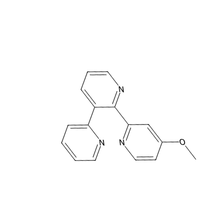 COc1ccnc(-c2ncccc2-c2ccccn2)c1